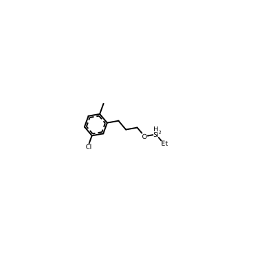 CC[SiH2]OCCCc1cc(Cl)ccc1C